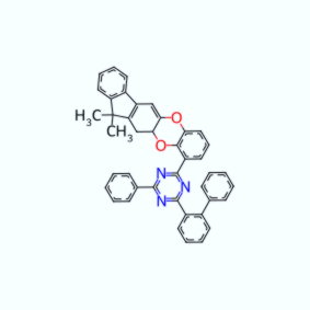 CC1(C)C2=C(C=C3Oc4cccc(-c5nc(-c6ccccc6)nc(-c6ccccc6-c6ccccc6)n5)c4OC3C2)c2ccccc21